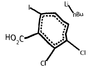 O=C(O)c1c(I)ccc(Cl)c1Cl.[Li][CH2]CCC